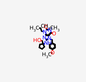 COc1ccc(Cn2c(NC3(CO)CCCC3)nc3c2c(=O)n(C)c(=O)n3CC(C)C)cc1